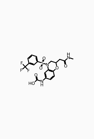 CNC(=O)CC1CN(S(=O)(=O)c2cccc(C(F)(F)F)c2)c2cc(NC(=O)O)ccc2O1